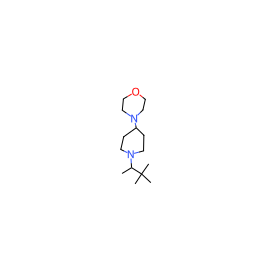 CC(N1CCC(N2CCOCC2)CC1)C(C)(C)C